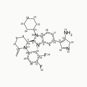 C=C1CCC[C@@H](c2nc3cc(C4=C(N)CN=C4)ccc3n2C2CCCCC2)N1c1ccc(F)c(F)c1